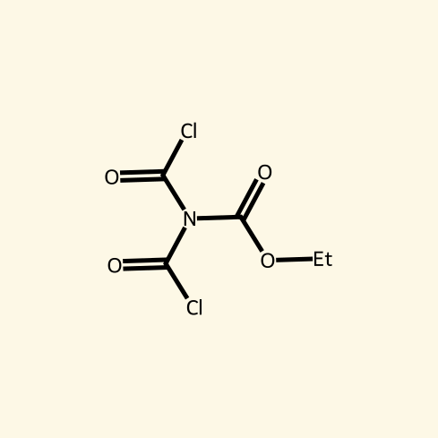 CCOC(=O)N(C(=O)Cl)C(=O)Cl